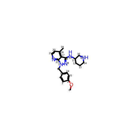 COc1ccc(Cn2nc(NC3CCCNC3)c3c(C)ccnc32)cc1